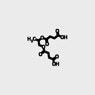 CC(COC(=O)CCC(=O)O)OC(=O)CCC(=O)O